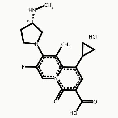 CN[C@H]1CCN(c2c(F)cn3c(=O)c(C(=O)O)cc(C4CC4)c3c2C)C1.Cl